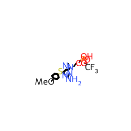 COc1ccc(Sc2nc(N)nc3c2ncn3CCOCP(=O)(O)OCC(F)(F)F)cc1